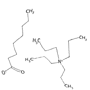 CCCCCCCC(=O)[O-].CCC[N+](CCC)(CCC)CCC